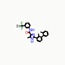 CCC(F)(F)c1cccc(NC(=O)c2nc(-c3cccc(-c4ccccc4C)c3C)[nH]c2C)c1